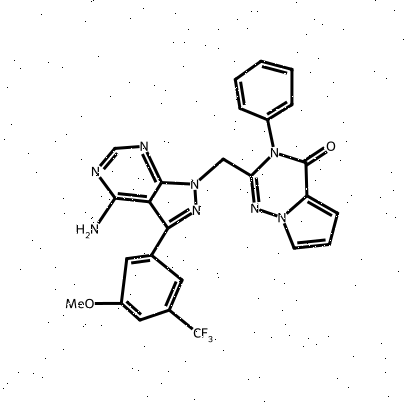 COc1cc(-c2nn(Cc3nn4cccc4c(=O)n3-c3ccccc3)c3ncnc(N)c23)cc(C(F)(F)F)c1